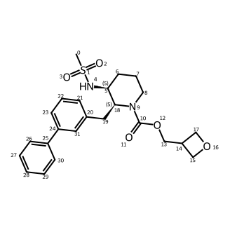 CS(=O)(=O)N[C@H]1CCCN(C(=O)OCC2COC2)[C@H]1Cc1cccc(-c2ccccc2)c1